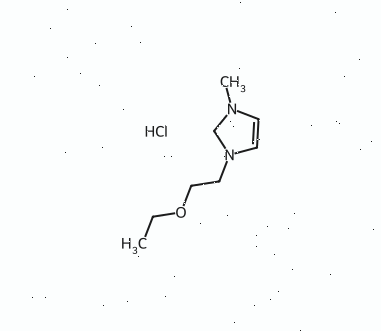 CCOCCN1C=CN(C)C1.Cl